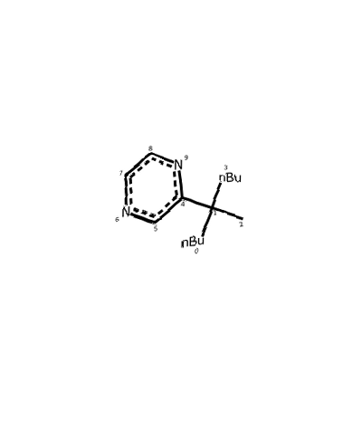 CCCCC(C)(CCCC)c1cnccn1